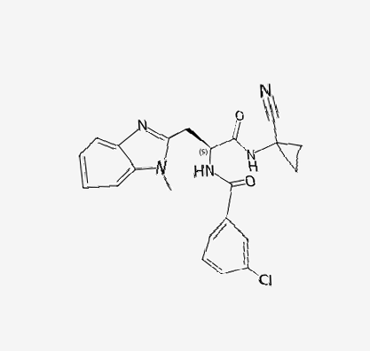 Cn1c(C[C@H](NC(=O)c2cccc(Cl)c2)C(=O)NC2(C#N)CC2)nc2ccccc21